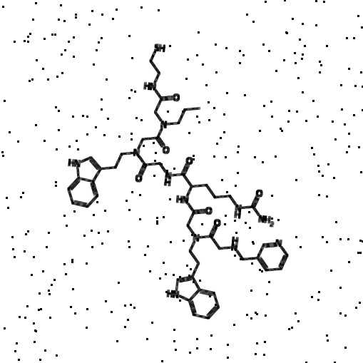 CCCN(CC(=O)NCCS)C(=O)CN(CCc1c[nH]c2ccccc12)C(=O)CNC(=O)C(CCCNC(N)=O)NC(=O)CN(CCc1c[nH]c2ccccc12)C(=O)CNCc1cccnc1